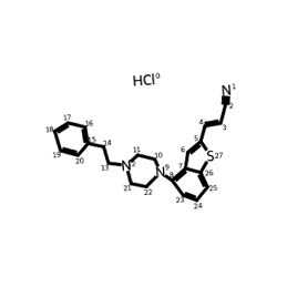 Cl.N#CC=Cc1cc2c(N3CCN(CCc4ccccc4)CC3)cccc2s1